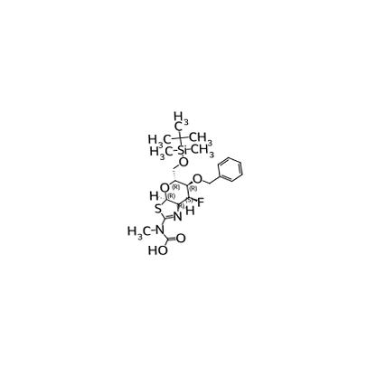 CN(C(=O)O)C1=N[C@@H]2[C@H](F)[C@H](OCc3ccccc3)[C@@H](CO[Si](C)(C)C(C)(C)C)O[C@@H]2S1